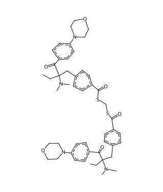 CCC(Cc1ccc(C(=O)SCSC(=O)c2ccc(CC(CC)(C(=O)c3ccc(N4CCOCC4)cc3)N(C)C)cc2)cc1)(C(=O)c1ccc(N2CCOCC2)cc1)N(C)C